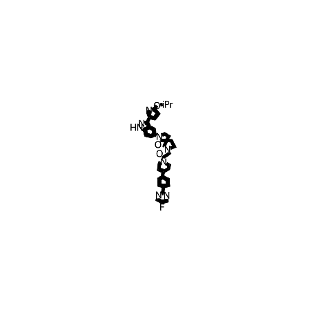 CC(C)Oc1ccc(-c2n[nH]c3ccc(N4CCC5(CCN(CC(=O)N6CC=C(c7ccc(-c8ncc(F)cn8)cc7)CC6)C5)C4=O)cc23)cn1